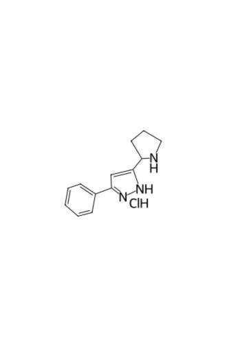 Cl.c1ccc(-c2cc(C3CCCN3)[nH]n2)cc1